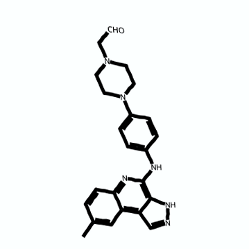 Cc1ccc2nc(Nc3ccc(N4CCN(CC=O)CC4)cc3)c3[nH]ncc3c2c1